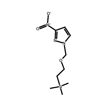 C[Si](C)(C)CCOCn1ccc([N+](=O)[O-])n1